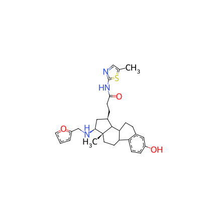 Cc1cnc(NC(=O)CC[C@@H]2C[C@H](NCc3ccco3)[C@@]3(C)CCC4c5ccc(O)cc5CCC4C23)s1